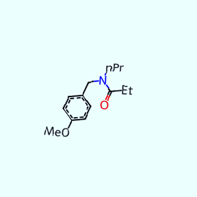 CCCN(Cc1ccc(OC)cc1)C(=O)CC